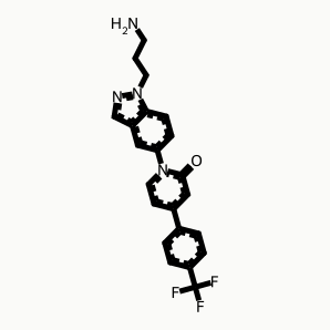 NCCCn1ncc2cc(-n3ccc(-c4ccc(C(F)(F)F)cc4)cc3=O)ccc21